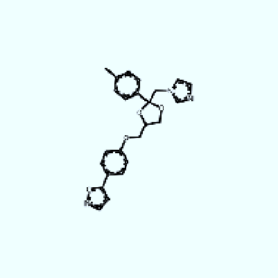 Cc1ccc(C2(Cn3ccnc3)OCC(COc3ccc(-c4ccno4)cc3)O2)cc1